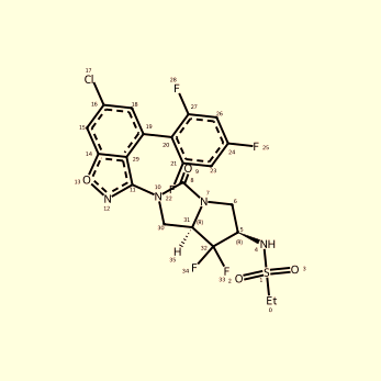 CCS(=O)(=O)N[C@@H]1CN2C(=O)N(c3noc4cc(Cl)cc(-c5c(F)cc(F)cc5F)c34)C[C@@H]2C1(F)F